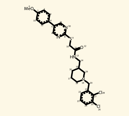 COc1ccc(-c2cnc(SCC(=O)NCC3CCCN(Cc4cccc(Cl)c4Cl)C3)nc2)cc1